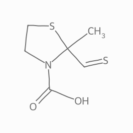 CC1(C=S)SCCN1C(=O)O